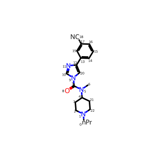 CCCN1CCC(N(C)C(=O)n2cnc(-c3cccc(C#N)c3)c2)CC1